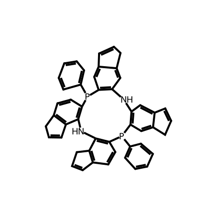 C1=Cc2cc3c(cc2C1)Nc1cc2c(cc1P(c1ccccc1)c1ccc4c(c1Nc1c(ccc5c1C=CC5)P3c1ccccc1)CC=C4)CC=C2